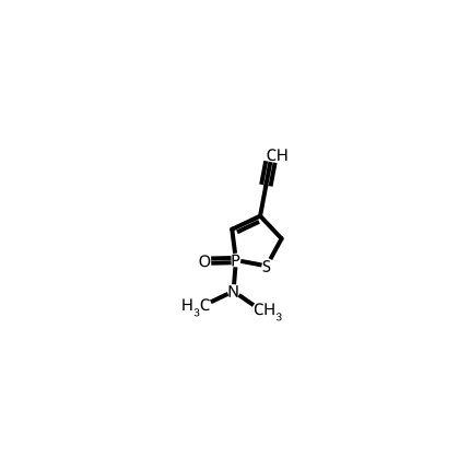 C#CC1=CP(=O)(N(C)C)SC1